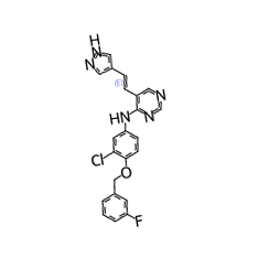 Fc1cccc(COc2ccc(Nc3ncncc3/C=C/c3cn[nH]c3)cc2Cl)c1